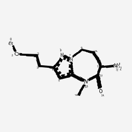 CCOCCc1cc2n(n1)CCC(N)C(=O)N2C